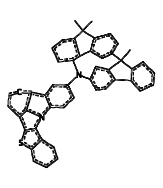 CC1(C)c2ccccc2-c2ccc(N(c3ccc4c(c3)c3cccc5c6sc7ccccc7c6n4c35)c3cccc4c3-c3ccccc3C4(C)C)cc21